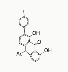 CC(=O)C1c2cccc(O)c2C(=O)c2c1ccc(-c1ccc(C)cc1)c2O